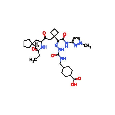 CCC(=O)N[C@@H](CC1(C)CCCC1)C(=O)CC1(C(=NNC(=O)NCC2CCC(C(=O)O)CC2)C(=O)Nc2ccn(C)n2)CCC1